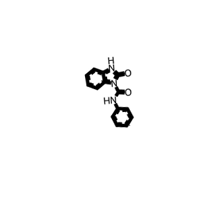 O=C(Nc1cc[c]cc1)n1c(=O)[nH]c2ccccc21